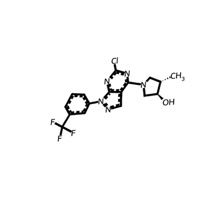 C[C@H]1CN(c2nc(Cl)nc3c2cnn3-c2cccc(C(F)(F)F)c2)C[C@@H]1O